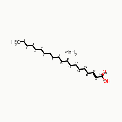 CCCCCCCCCCCCCCCCCC=CC(=O)O.[InH3]